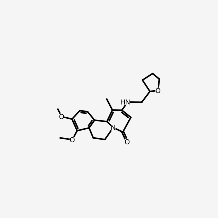 COc1ccc2c(c1OC)CCn1c-2c(C)c(NCC2CCCO2)cc1=O